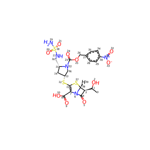 CC(O)[C@H]1C(=O)N2C(C(=O)O)=C(S[C@@H]3C[C@H](CNS(N)(=O)=O)N(C(=O)OCc4ccc([N+](=O)[O-])cc4)C3)S[C@H]12